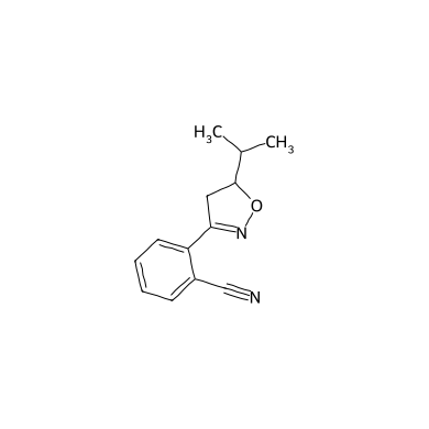 CC(C)C1CC(c2ccccc2C#N)=NO1